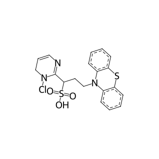 O=S(=O)(O)C(CCN1c2ccccc2Sc2ccccc21)C1=NC=CCN1Cl